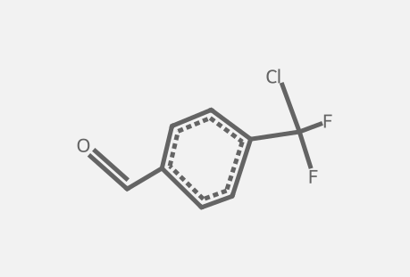 O=Cc1ccc(C(F)(F)Cl)cc1